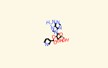 Nc1ncnc2c1ncn2[C@@H]1O[C@H](CO)C(O)C1OC(=O)c1cccnc1